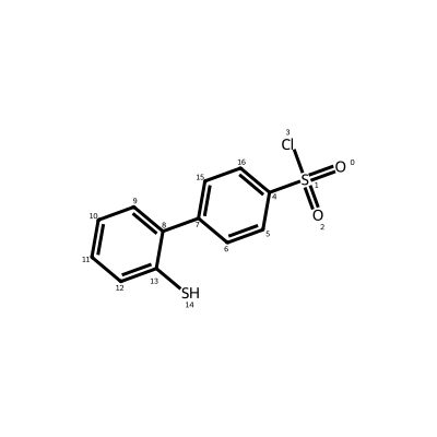 O=S(=O)(Cl)c1ccc(-c2ccccc2S)cc1